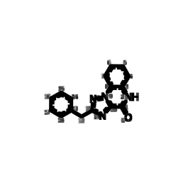 O=c1[nH]c2ccccc2n2nc(Cc3ccccc3)nc12